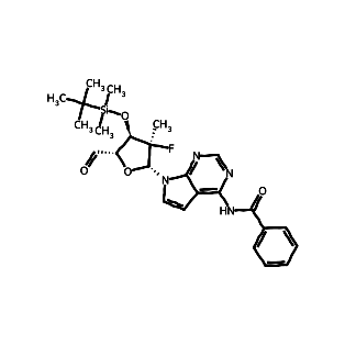 CC(C)(C)[Si](C)(C)O[C@@H]1[C@@H](C=O)O[C@@H](n2ccc3c(NC(=O)c4ccccc4)ncnc32)[C@]1(C)F